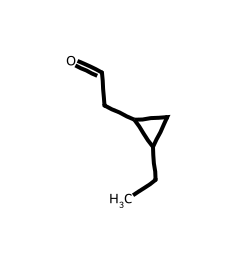 CCC1CC1CC=O